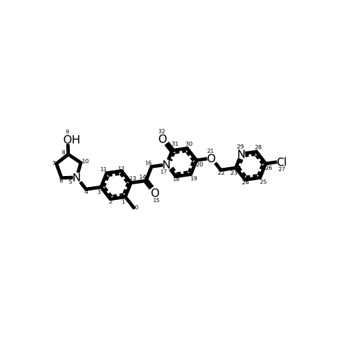 Cc1cc(CN2CCC(O)C2)ccc1C(=O)Cn1ccc(OCc2ccc(Cl)cn2)cc1=O